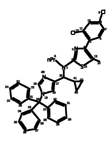 CCCN(c1nc(-c2ccc(Cl)cc2Cl)c(C)s1)C(c1cn(C(c2ccccc2)(c2ccccc2)c2ccccc2)cn1)C1CC1